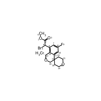 COC(=O)C(Br)c1cc(F)cc2c1[C@@H](C)OCC21CCOCC1